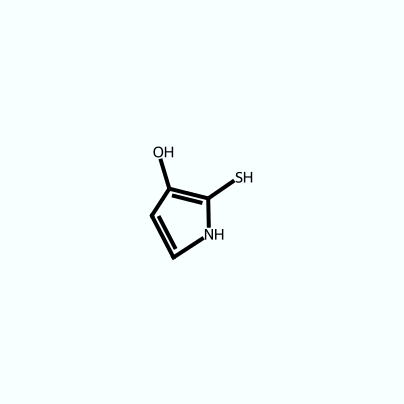 Oc1cc[nH]c1S